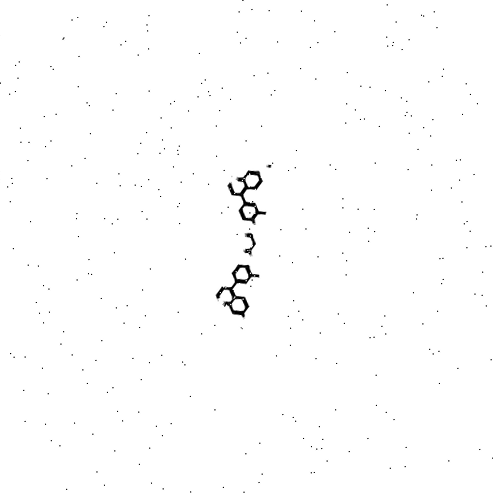 COc1ccc2c(-c3ccc(OC(=O)CC(=O)Oc4ccc(-c5ccnc6cc(OC)ccc56)cc4C)c(C)c3)ccnc2c1